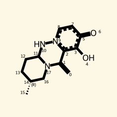 C=C1c2c(O)c(=O)ccn2NC2CC[C@@H](C)CN12